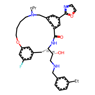 CCCN1CCCCOc2cc(F)cc(c2)C[C@@H]([C@H](O)CNCc2cccc(CC)c2)NC(=O)c2cc(cc(-c3ncco3)c2)C1